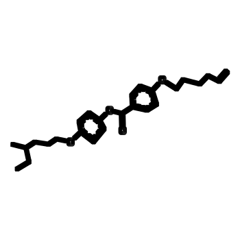 C=CCCCCOc1ccc(C(=O)Oc2ccc(OCCCC(C)CC)cc2)cc1